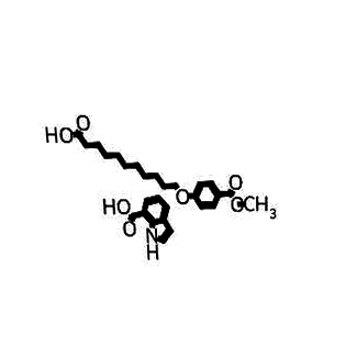 COC(=O)c1ccc(OCCCCCCCCCCC(=O)O)cc1.O=C(O)c1cccc2cc[nH]c12